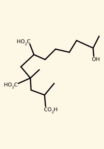 CC(O)CCCCC(CC(C)(CC(C)C(=O)O)C(=O)O)C(=O)O